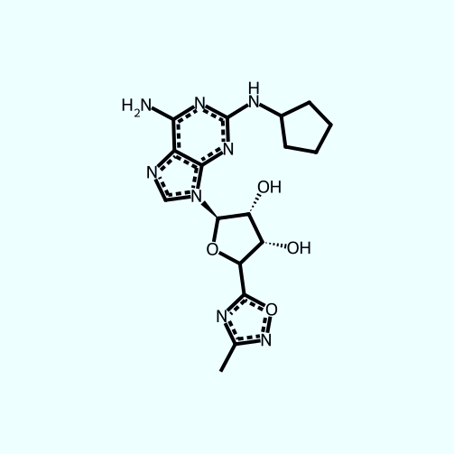 Cc1noc(C2O[C@@H](n3cnc4c(N)nc(NC5CCCC5)nc43)[C@H](O)[C@@H]2O)n1